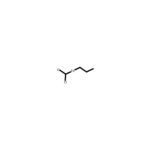 CC[CH2][Fe][CH](Cl)Cl